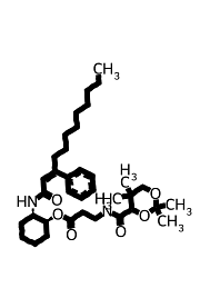 CCCCCCCCC/C(=C/C(=O)N[C@H]1CCCC[C@@H]1OC(=O)CCNC(=O)C1OC(C)(C)OCC1(C)C)c1ccccc1